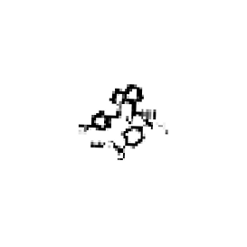 COC(=O)[C@H]1CC[C@H](C(C)NC(=O)c2cccc3ccn(Cc4ccc(Cl)cc4)c23)CC1